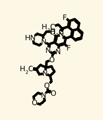 C=C1CN2C(COC(=O)N3CCOCC3)CCC2(COc2nc3c4c(nc(-c5cccc6ccc(F)c(C(=C)CC)c56)c(F)c4n2)OCC2CNCCN32)C1